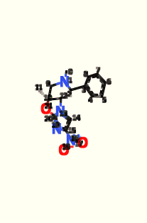 CN(Cc1ccccc1)C[C@@]1(C)Cn2cc([N+](=O)[O-])nc2O1